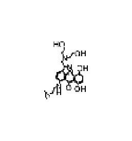 CN(C)CCNc1ccc2c(CN(CCO)CCO)nn3c4c(O)ccc(O)c4c(=O)c1c23